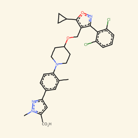 Cc1cc(-c2cc(C(=O)O)n(C)n2)ccc1N1CCC(OCc2c(-c3c(Cl)cccc3Cl)noc2C2CC2)CC1